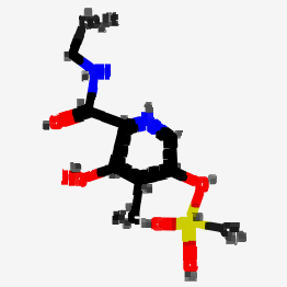 CCOC(=O)CNC(=O)c1ncc(OS(=O)(=O)C(F)(F)F)c(C)c1O